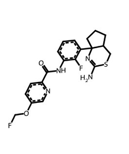 NC1=NC2(c3cccc(NC(=O)c4ccc(OCF)cn4)c3F)CCCC2CS1